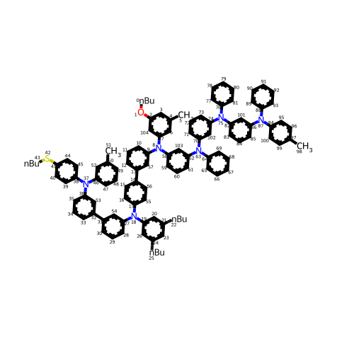 CCCCOc1cc(C)cc(N(c2cccc(-c3ccc(N(c4cc(CCCC)cc(CCCC)c4)c4cccc(-c5cccc(N(c6ccc(SCCCC)cc6)c6cccc(C)c6)c5)c4)cc3)c2)c2cccc(N(c3ccccc3)c3cccc(N(c4ccccc4)c4cccc(N(c5ccccc5)c5ccc(C)cc5)c4)c3)c2)c1